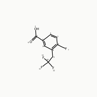 O=C(O)c1ccc(F)c(CC(F)(F)F)c1